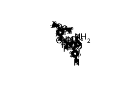 C[C@]1(C(N)=O)COc2c1cc([C@@](O)(CNC(=O)c1ccc(OC3CC3)c(OC3CC3)c1)C(F)(F)F)nc2-c1ccc(C#N)cc1